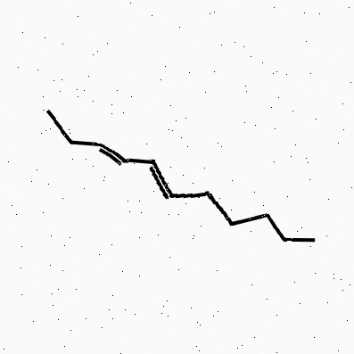 [CH2]C/C=C/C=C/CCCCC